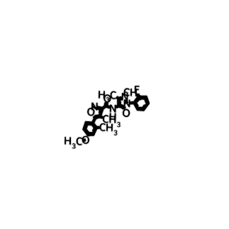 COc1ccc(-c2onc(C(=O)Nc3c(C)n(C)n(-c4ccccc4F)c3=O)c2C)c(C)c1